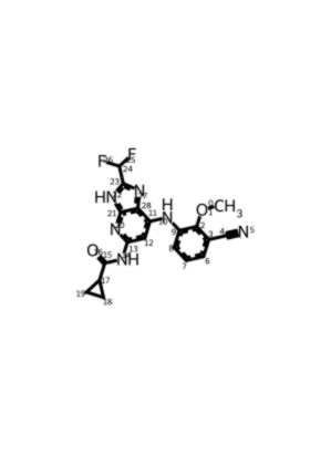 COc1c(C#N)cccc1Nc1cc(NC(=O)C2CC2)nc2[nH]c(C(F)F)nc12